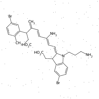 C=C(/C=C/C(N)=C/C=C1\C(CC(=O)O)c2cc(Br)ccc2N1CCCN)C(CC(=O)O)c1cc(Br)ccc1C